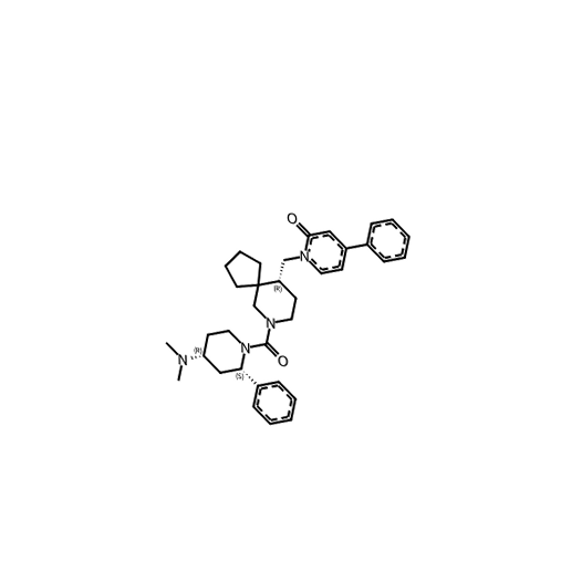 CN(C)[C@@H]1CCN(C(=O)N2CC[C@@H](Cn3ccc(-c4ccccc4)cc3=O)C3(CCCC3)C2)[C@H](c2ccccc2)C1